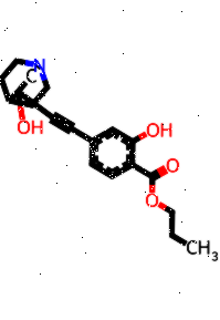 CCCOC(=O)c1ccc(C#CC2(O)CN3CCC2CC3)cc1O